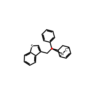 C1=CC2C(Cc3ccccc3)CC1CN2CCc1csc2ccccc12